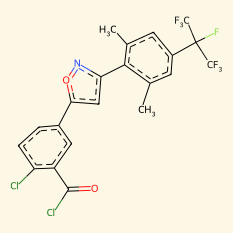 Cc1cc(C(F)(C(F)(F)F)C(F)(F)F)cc(C)c1-c1cc(-c2ccc(Cl)c(C(=O)Cl)c2)on1